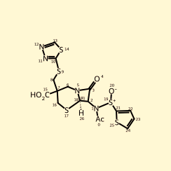 CC(=O)N(C1C(=O)N2CC(CSc3nncs3)(C(=O)O)CS[C@H]12)[S+]([O-])c1cccs1